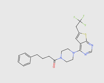 O=C(CCCc1ccccc1)N1CCN(c2ncnc3sc(CC(F)(F)F)cc23)CC1